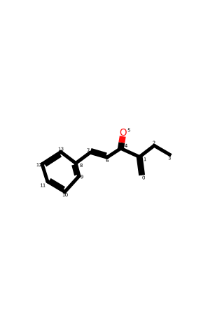 C=C(CC)C(=O)/C=C/c1ccccc1